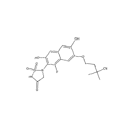 CC(C)(C#N)CCOc1cc2c(F)c(N3CC(=O)NS3(=O)=O)c(O)cc2cc1O